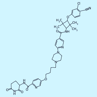 CC1(C)C(NC(=O)c2ccc(N3CCN(CCCCOc4ccc(C(=O)NC5CCC(=O)NC5=O)nc4)CC3)nc2)C(C)(C)C1Oc1ccc(C#N)c(Cl)c1